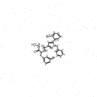 CNC(=O)C(Cc1cccc(Br)c1)NC(=O)c1cc(-c2ccccc2Br)n(Cc2ccccc2)n1